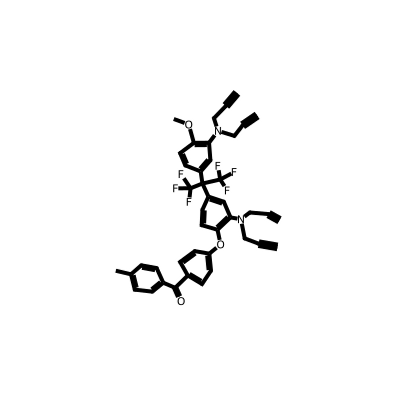 C#CCN(CC#C)c1cc(C(c2ccc(Oc3ccc(C(=O)c4ccc(C)cc4)cc3)c(N(CC#C)CC#C)c2)(C(F)(F)F)C(F)(F)F)ccc1OC